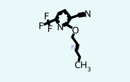 CC/C=C/COc1nc(C(F)(F)F)ccc1C#N